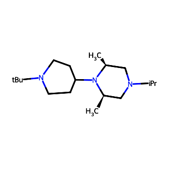 CC(C)N1C[C@@H](C)N(C2CCN(C(C)(C)C)CC2)[C@@H](C)C1